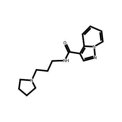 O=C(NCCCN1CCCC1)c1cnn2ccccc12